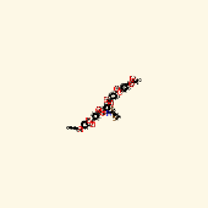 C#CC#COc1ccc(OC(=O)[C@H]2CC[C@H](C(=O)Oc3ccc(OC(=O)[C@H]4CC[C@H](C(=O)Oc5ccc(COC(=O)C=C)cc5)CC4)c4sc(-c5cccs5)nc34)CC2)cc1